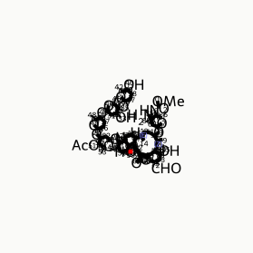 COC(=O)N[C@H]1[C@H](C)O[C@@H](OC2C/C=C(\C)[C@H]3C=C[C@H]4[C@H](O[C@H]5CC(O[C@H]6CC[C@@H](O[C@H]7C[C@H](O)[C@@H](O[C@H]8CC[C@@H](O)[C@@H](C)O8)[C@H](C)O7)[C@H](C)O6)[C@@H](OC(C)=O)[C@H](C)O5)[C@H](C)C[C@H](C)[C@@H]4[C@]3(C)C(O)=C3C(=O)O[C@@]4(CC(C=O)=C[C@H](O)[C@@H]4/C=C\2C)C3=O)C[C@]1(C)N